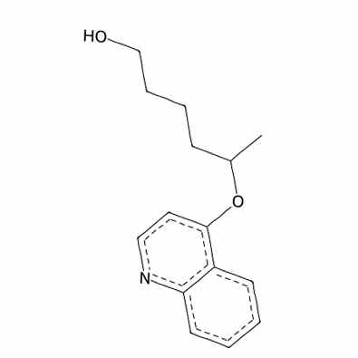 CC(CCCCO)Oc1ccnc2ccccc12